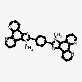 Cn1c(-c2ccc(-c3nc4c5cccnc5c5ncccc5c4n3C)cc2)nc2c3cccnc3c3ncccc3c21